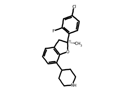 C[C@@]1(c2ccc(Cl)cc2F)Cc2cccc(C3CCNCC3)c2O1